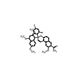 COc1ccc2c(C3(c4c(F)cc(F)cc4F)C=Cc4c(ccc5cc(C(C)=O)c(OC)cc45)O3)c(OC)cc(OC)c2c1